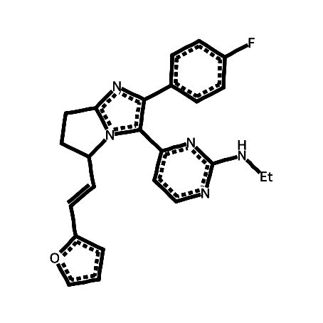 CCNc1nccc(-c2c(-c3ccc(F)cc3)nc3n2C(/C=C/c2ccco2)CC3)n1